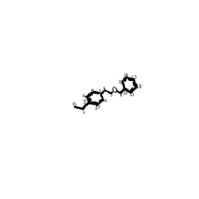 CCc1ccc(CCOCc2ccccc2)cc1